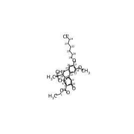 CCOC(=O)c1cn2c(cc1=O)-c1cc(OC)c(OCCCCCCCl)cc1CC2C(C)(C)C